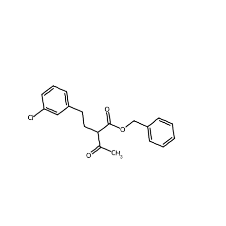 CC(=O)C(CCc1cccc(Cl)c1)C(=O)OCc1ccccc1